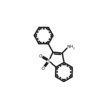 NC1=C(c2ccccc2)S(=O)(=O)c2ccccc21